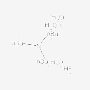 CCCCN(CCCC)CCCC.F.O.O.O